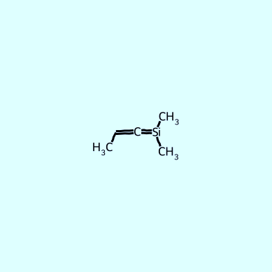 CC=C=[Si](C)C